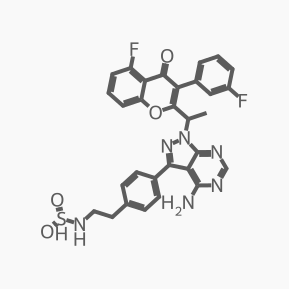 CC(c1oc2cccc(F)c2c(=O)c1-c1cccc(F)c1)n1nc(-c2ccc(CCN[SH](=O)=O)cc2)c2c(N)ncnc21